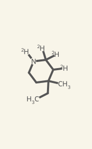 [2H]C1C(C)(CC)CCN([2H])C1([2H])[2H]